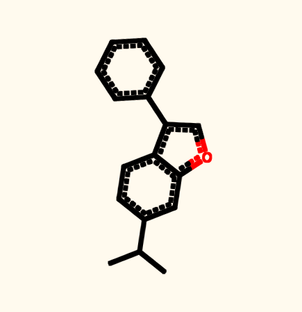 CC(C)c1ccc2c(-c3ccccc3)coc2c1